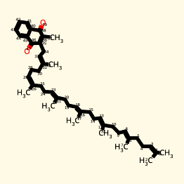 CC(C)=CCC/C(C)=C/CC/C(C)=C/CC/C(C)=C/CC/C(C)=C/CC/C(C)=C\CC/C(C)=C/CC1=C(C)C(=O)c2ccccc2C1=O